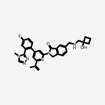 C=C(C)c1cc(-c2ccc(F)cc2-c2nncn2C)cc(N2Cc3ccc(CNCC4(O)CCC4)cc3C2=O)n1